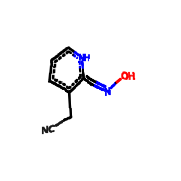 N#CCc1ccc[nH]c1=NO